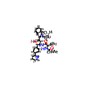 COC(=O)N[C@H](C(=O)NC(Cc1ccc(-c2ccccn2)cc1)C[C@H](O)[C@H](Cc1ccccc1)N(C(=O)O)C(C)(C)C)C(C)(C)C